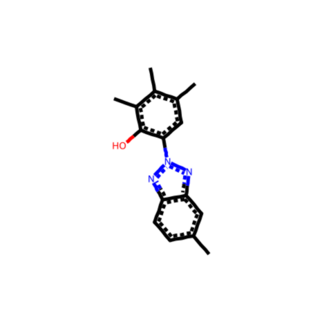 Cc1ccc2nn(-c3cc(C)c(C)c(C)c3O)nc2c1